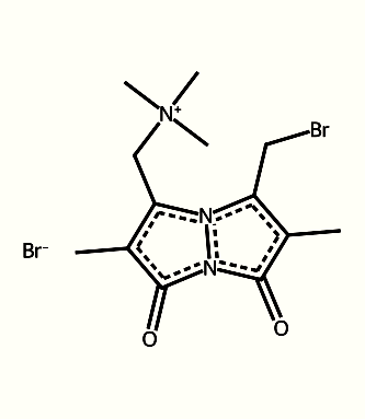 Cc1c(CBr)n2c(C[N+](C)(C)C)c(C)c(=O)n2c1=O.[Br-]